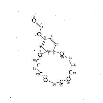 O=COc1ccc2c(c1)OCCCOCCOCCCO2